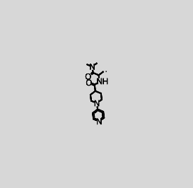 [CH2]C(NC(=O)C1CCN(c2ccncc2)CC1)C(=O)N(C)C